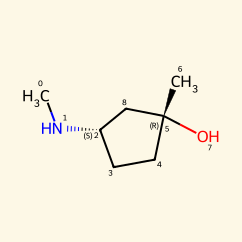 CN[C@H]1CC[C@@](C)(O)C1